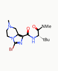 CNC(=O)[C@@H](NC(=O)c1nc(Br)n2c1CN(C)CC2)C(C)(C)C